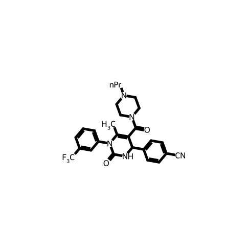 CCCN1CCN(C(=O)C2=C(C)N(c3cccc(C(F)(F)F)c3)C(=O)NC2c2ccc(C#N)cc2)CC1